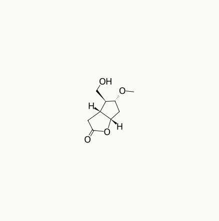 CO[C@@H]1C[C@@H]2OC(=O)C[C@@H]2[C@H]1CO